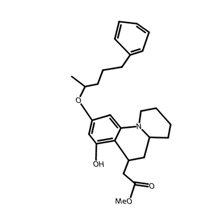 COC(=O)CC1CC2CCCCN2c2cc(OC(C)CCCc3ccccc3)cc(O)c21